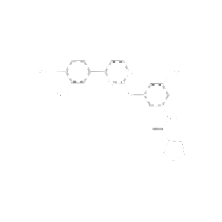 COc1cc(NC(=O)C2CCCC2)cc(Nc2nccc(-c3ccc(OC)c(C#N)c3)n2)c1